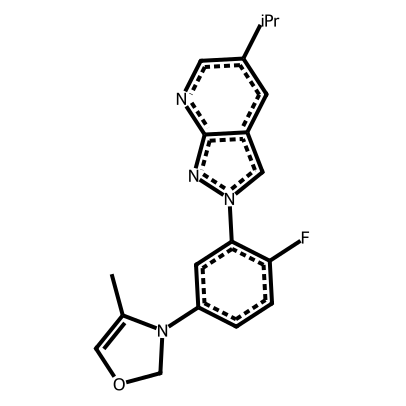 CC1=COCN1c1ccc(F)c(-n2cc3cc(C(C)C)cnc3n2)c1